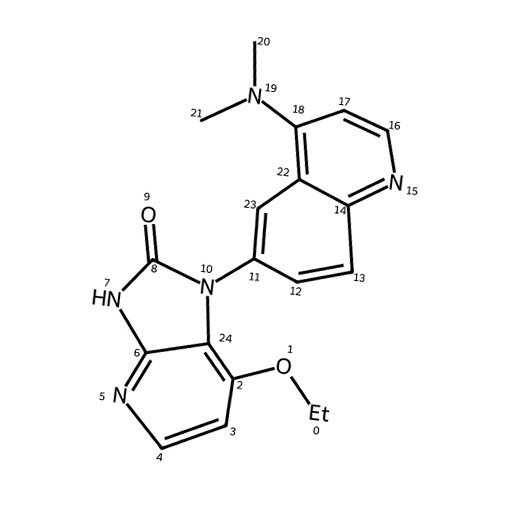 CCOc1ccnc2[nH]c(=O)n(-c3ccc4nccc(N(C)C)c4c3)c12